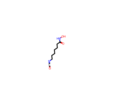 O=C=NCCCCCCC(=O)NO